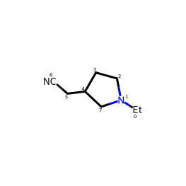 CCN1CCC(CC#N)C1